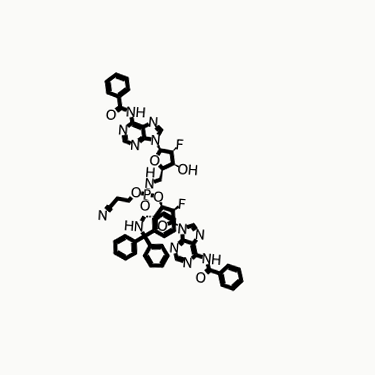 N#CCCOP(=O)(NC[C@H]1O[C@@H](n2cnc3c(NC(=O)c4ccccc4)ncnc32)[C@H](F)[C@@H]1O)O[C@H]1[C@@H](F)[C@H](n2cnc3c(NC(=O)c4ccccc4)ncnc32)O[C@@H]1CNC(c1ccccc1)(c1ccccc1)c1ccccc1